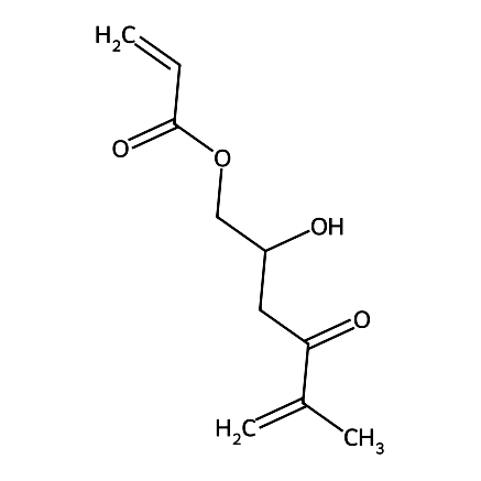 C=CC(=O)OCC(O)CC(=O)C(=C)C